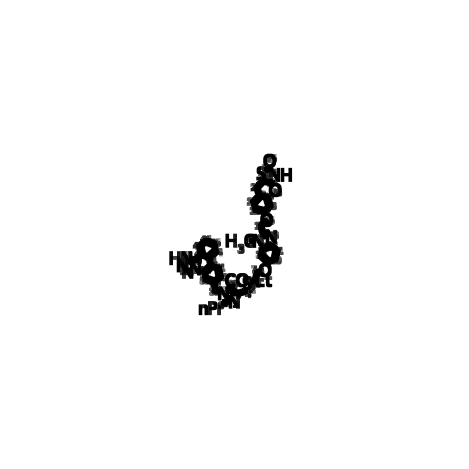 CCCc1nc(CSCCOc2ccc3nc(COc4ccc(CC5SC(=O)NC5=O)cc4)n(C)c3c2)c(C(=O)OCC)n1Cc1ccc(-c2ccccc2-c2nnn[nH]2)cc1